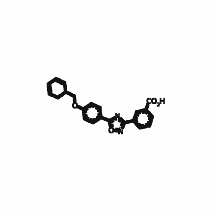 O=C(O)c1cccc(-c2noc(-c3ccc(OCC4C=CC=CC4)cc3)n2)c1